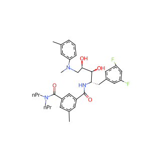 CCCN(CCC)C(=O)c1cc(C)cc(C(=O)N[C@@H](Cc2cc(F)cc(F)c2)[C@H](O)[C@H](O)CN(C)c2cccc(C)c2)c1